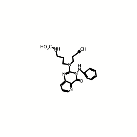 C#CCCN(CCCNC(=O)O)c1nc2cccnc2c(=O)n1Nc1ccccc1